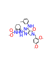 COC(=O)N[C@H]1CCCC[C@H]1Nc1nc2c(c(Nc3cccc(C)c3)n1)C(=O)N(Cc1ccc(OC)cc1OC)C2